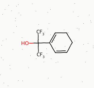 OC(C1=C[CH]CC=C1)(C(F)(F)F)C(F)(F)F